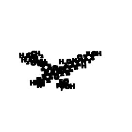 Cc1nc(C(=O)NC2CCC(O)CC2)ccc1-c1ccc(C[C@H](N)C(=O)N(c2ccc(-c3nn[nH]n3)cc2)C(=O)[C@H]2CC[C@H](CNC(=O)OC(C)(C)C)CC2)cc1.O=C(O)C(F)(F)F